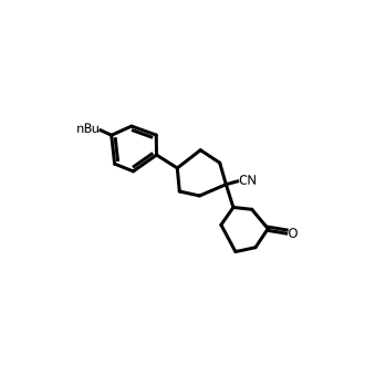 CCCCc1ccc(C2CCC(C#N)(C3CCCC(=O)C3)CC2)cc1